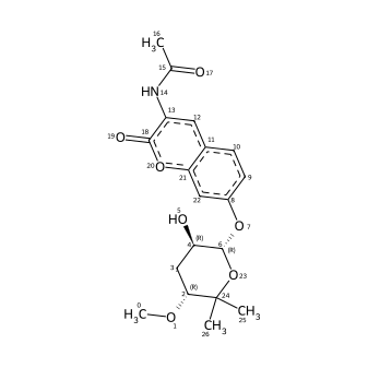 CO[C@@H]1[CH][C@@H](O)[C@H](Oc2ccc3cc(NC(C)=O)c(=O)oc3c2)OC1(C)C